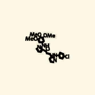 COc1cc(Nc2ncccc2C(=O)/C=C/c2cccnc2Nc2ccc(Cl)cc2)cc(OC)c1OC